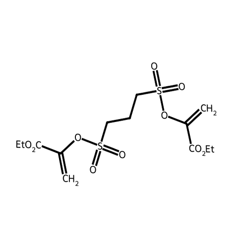 C=C(OS(=O)(=O)CCCS(=O)(=O)OC(=C)C(=O)OCC)C(=O)OCC